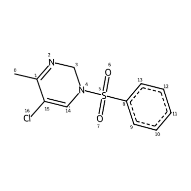 CC1=NCN(S(=O)(=O)c2ccccc2)[C]=C1Cl